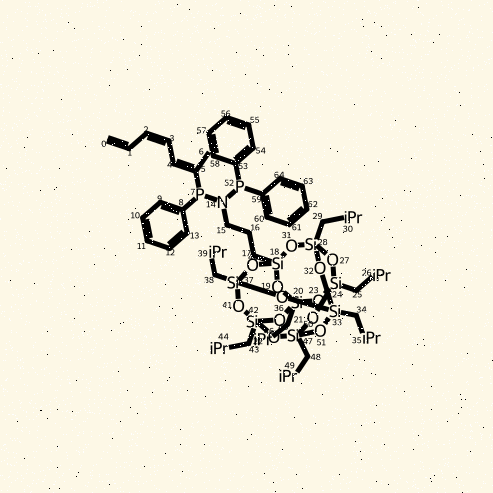 C=C/C=C\C=C(/C)P(c1ccccc1)N(CCC[Si]12O[Si]3(CC(C)C)O[Si]4(CC(C)C)O[Si](CC(C)C)(O1)O[Si]1(CC(C)C)O[Si](CC(C)C)(O2)O[Si](CC(C)C)(O3)O[Si](CC(C)C)(O4)O1)P(c1ccccc1)c1ccccc1